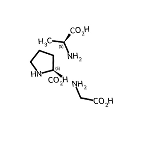 C[C@H](N)C(=O)O.NCC(=O)O.O=C(O)[C@@H]1CCCN1